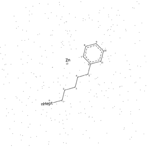 CCCCCCCCCCCCc1ccccc1.[Zn]